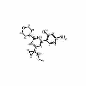 CSNC1(c2cc(-c3cnc(N)cc3Cl)nc(N3CCOCC3)n2)CC1